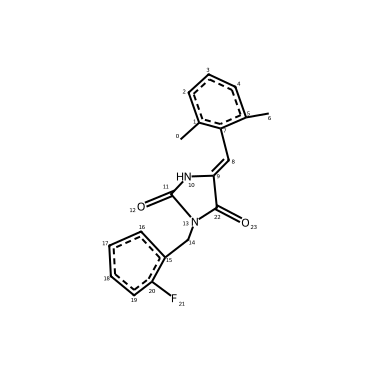 Cc1cccc(C)c1/C=C1\NC(=O)N(Cc2ccccc2F)C1=O